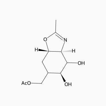 CC(=O)OCC1C[C@@H]2OC(C)=N[C@H]2C(O)[C@H]1O